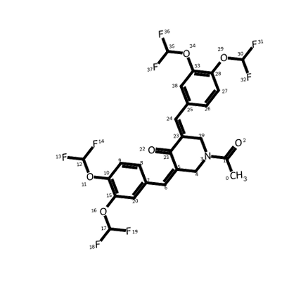 CC(=O)N1CC(=Cc2ccc(OC(F)F)c(OC(F)F)c2)C(=O)C(=Cc2ccc(OC(F)F)c(OC(F)F)c2)C1